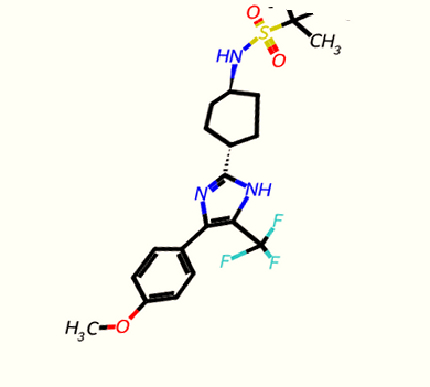 COc1ccc(-c2nc([C@H]3CC[C@H](NS(=O)(=O)C(C)(C)C)CC3)[nH]c2C(F)(F)F)cc1